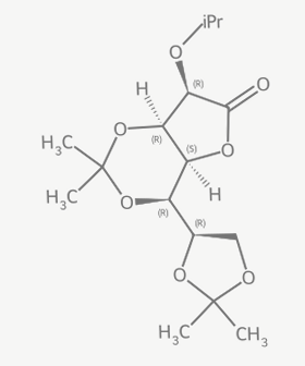 CC(C)O[C@H]1C(=O)O[C@@H]2[C@H]1OC(C)(C)O[C@@H]2[C@H]1COC(C)(C)O1